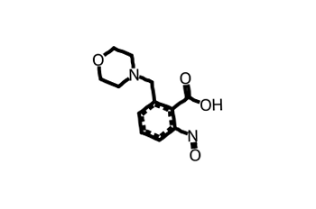 O=Nc1cccc(CN2CCOCC2)c1C(=O)O